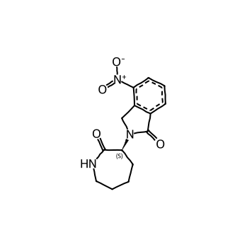 O=C1NCCCC[C@@H]1N1Cc2c(cccc2[N+](=O)[O-])C1=O